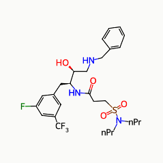 CCCN(CCC)S(=O)(=O)CCC(=O)N[C@@H](Cc1cc(F)cc(C(F)(F)F)c1)[C@@H](O)CNCc1ccccc1